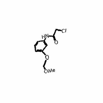 COCOc1cccc(NC(=O)CCl)c1